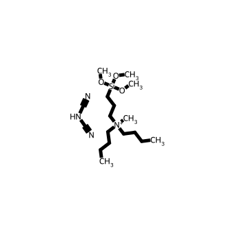 CCCC[N+](C)(CCCC)CCC[Si](OC)(OC)OC.N#CNC#N